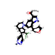 CNC(=O)c1cn(C)c2c(C3=CCOCC3)cc(N3CCCc4cc(-c5cnn(C)c5)c(C(F)F)cc43)cc12